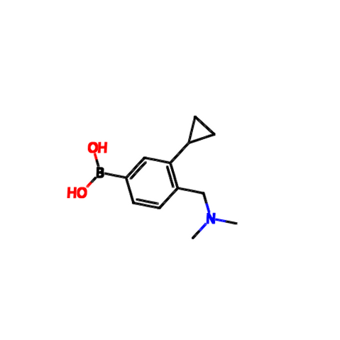 CN(C)Cc1ccc(B(O)O)cc1C1CC1